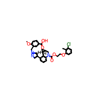 COc1ccc(C(=O)O)cc1Cn1cc(-c2cccc3c2[C@H]2C[C@H]2CN3C(=O)OCCOc2cccc(Cl)c2C)cn1